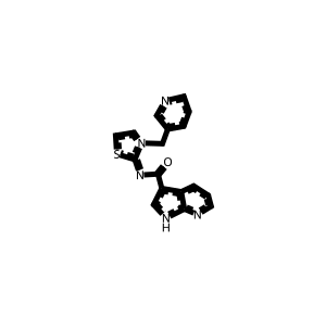 O=C(N=c1sccn1Cc1cccnc1)c1c[nH]c2ncccc12